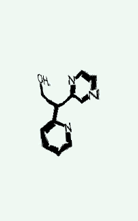 OCC(c1ccccn1)c1cnccn1